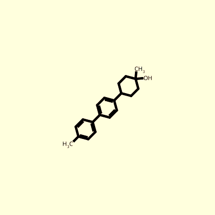 Cc1ccc(-c2ccc(C3CCC(C)(O)CC3)cc2)cc1